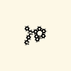 O=S1(=O)c2ccccc2-c2ccccc2-c2ccccc2-c2ccc(-c3cc(-c4ccccc4)nc(-c4ccc(-c5cccnc5)cc4)n3)cc2-c2ccc3ccccc3c21